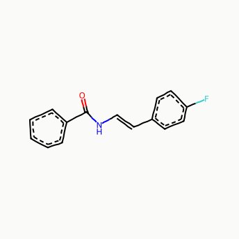 O=C(N/C=C/c1ccc(F)cc1)c1ccccc1